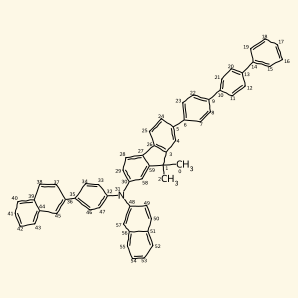 CC1(C)c2cc(-c3ccc(-c4ccc(-c5ccccc5)cc4)cc3)ccc2-c2ccc(N(c3ccc(-c4ccc5ccccc5c4)cc3)c3ccc4ccccc4c3)cc21